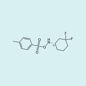 Cc1ccc(S(=O)(=O)ON[C@H]2CCCC(F)(F)C2)cc1